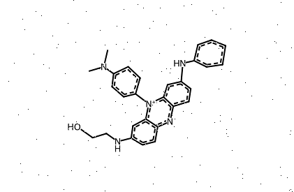 CN(C)c1ccc(-[n+]2c3cc(NCCO)ccc3nc3ccc(Nc4ccccc4)cc32)cc1